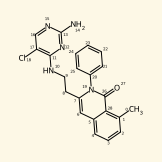 Cc1cccc2cc(CCNc3nc(N)ncc3Cl)n(-c3ccccc3)c(=O)c12